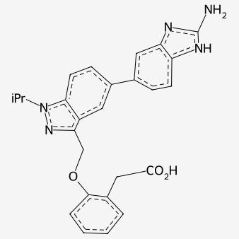 CC(C)n1nc(COc2ccccc2CC(=O)O)c2cc(-c3ccc4[nH]c(N)nc4c3)ccc21